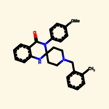 COc1ccc(N2C(=O)c3ccccc3NC23CCN(Cc2ccccc2C)CC3)cc1